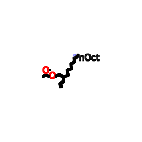 C=CCC(CCCCC/C=C\CCCCCCCC)CCOCC(C)[O]